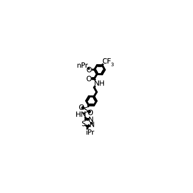 CCCOc1cc(C(F)(F)F)ccc1C(=O)NCCc1ccc(S(=O)(=O)Nc2nnc(C(C)C)s2)cc1